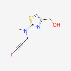 CN(CC#CI)c1nc(CO)cs1